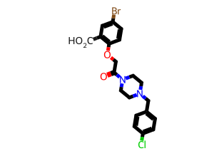 O=C(O)c1cc(Br)ccc1OCC(=O)N1CCN(Cc2ccc(Cl)cc2)CC1